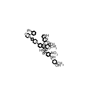 CC(C)c1ccccc1[C@@H]1COCCN1C1CC2(CCN(c3ccc(C(=O)NS(=O)(=O)c4ccc(NC[C@H]5CC[C@](C)(O)CC5)c([N+](=O)[O-])c4)c(N4c5cc6cc[nH]c6nc5O[C@@H]5[C@@H]4CCOC5(C)C)c3)CC2)C1